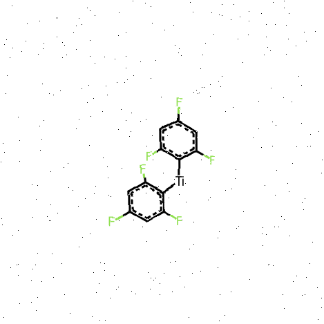 Fc1cc(F)[c]([Ti][c]2c(F)cc(F)cc2F)c(F)c1